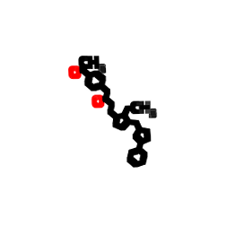 CCC1C(CCC(=O)Cc2ccc(C(C)=O)cc2)=CC=C1CC1C=CC(c2ccccc2)=C1